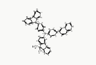 CC1(C)c2ccccc2-c2cc(N(c3ccc(-c4ccc5ccccc5c4)cc3)c3ccc(-n4c5ccccc5c5ccccc54)cc3)ccc21